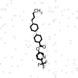 CCCC[C@H]1CC[C@H](C2CCC(C(=O)Oc3ccc(C(F)(F)F)nc3)CC2)CC1